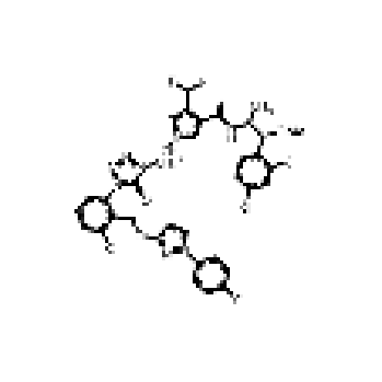 COC(c1ccc(Cl)cc1Cl)C(C)NC(=O)c1cn(C)nc1C(F)F.Cn1nnn(-c2cccc(Cl)c2COc2ccn(-c3ccc(Cl)cc3)n2)c1=O